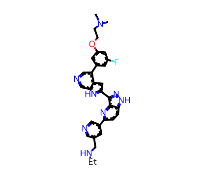 CCNCc1cncc(-c2ccc3[nH]nc(-c4cc5c(-c6cc(F)cc(OCCN(C)C)c6)cncc5[nH]4)c3n2)c1